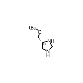 CC(C)(C)OC[C@H]1CNCN1